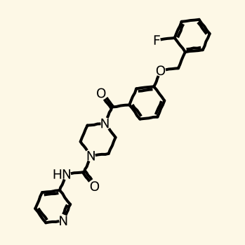 O=C(Nc1cccnc1)N1CCN(C(=O)c2cccc(OCc3ccccc3F)c2)CC1